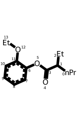 CCCC(CC)C(=O)Oc1ccccc1OCC